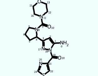 Nc1cc(C2CCCN2C(=O)N2CCOCC2)nn1C(=O)c1cscn1